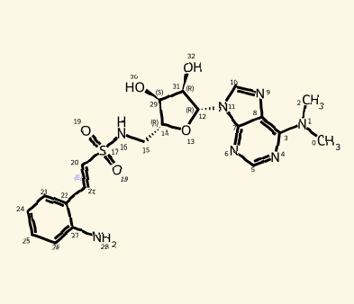 CN(C)c1ncnc2c1ncn2[C@@H]1O[C@H](CNS(=O)(=O)/C=C/c2ccccc2N)[C@@H](O)[C@H]1O